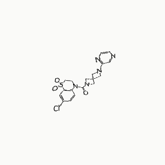 O=C(N1CC2(C1)CN(c1cnccn1)C2)N1CCS(=O)(=O)c2cc(Cl)ccc21